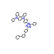 c1ccc(-c2cccc(-c3ccc(-c4nc(-c5ccccc5)nc(-c5ccc(-n6c7ccccc7c7c8c9ccccc9n(-c9ccccc9)c8ccc76)cc5)n4)cc3)c2)cc1